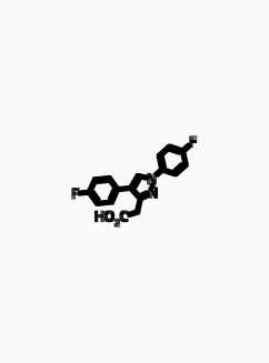 O=C(O)Cc1nn(-c2ccc(F)cc2)cc1-c1ccc(F)cc1